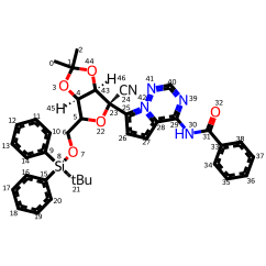 CC1(C)O[C@@H]2C(CO[Si](c3ccccc3)(c3ccccc3)C(C)(C)C)O[C@@](C#N)(c3ccc4c(NC(=O)c5ccccc5)ncnn34)[C@@H]2O1